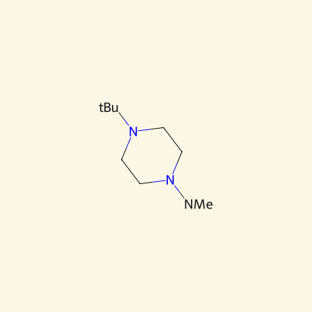 CNN1CCN(C(C)(C)C)CC1